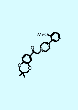 COc1ccccc1N1CCN(CC(=O)c2ccc3c(c2)OCC(C)(C)CO3)CC1